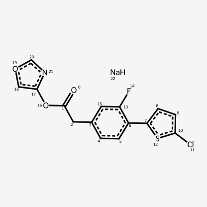 O=C(Cc1ccc(-c2ccc(Cl)s2)c(F)c1)Oc1cocn1.[NaH]